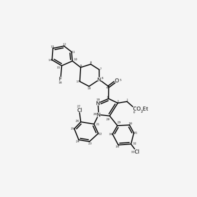 CCOC(=O)Cc1c(C(=O)N2CCC(c3ccccc3F)CC2)nn(-c2ccccc2Cl)c1-c1ccc(Cl)cc1